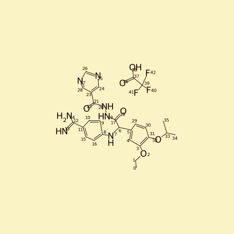 CCOc1cc(C(Nc2ccc(C(=N)N)cc2)C(=O)NNC(=O)c2cncnc2)ccc1OC(C)C.O=C(O)C(F)(F)F